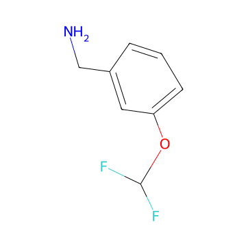 NCc1cccc(OC(F)F)c1